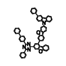 c1ccc(-c2ccc(-c3nc(-c4ccccc4)nc(-c4cc(-c5ccc6c(c5)oc5cc(-n7c8ccccc8c8cc(-c9ccccc9)ccc87)ccc56)c5c(c4)oc4ccccc45)n3)cc2)cc1